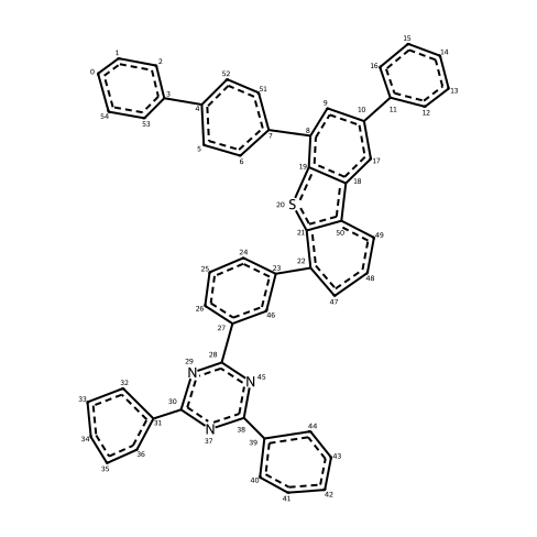 c1ccc(-c2ccc(-c3cc(-c4ccccc4)cc4c3sc3c(-c5cccc(-c6nc(-c7ccccc7)nc(-c7ccccc7)n6)c5)cccc34)cc2)cc1